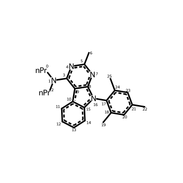 CCCN(CCC)c1nc(C)nc2c1c1ccccc1n2-c1c(C)cc(C)cc1C